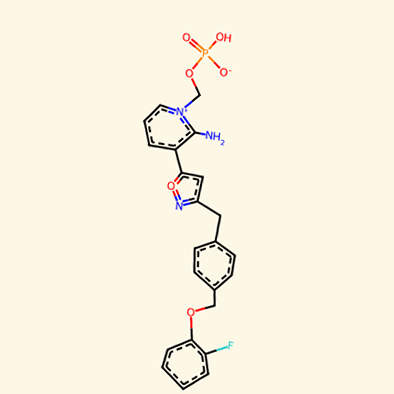 Nc1c(-c2cc(Cc3ccc(COc4ccccc4F)cc3)no2)ccc[n+]1COP(=O)([O-])O